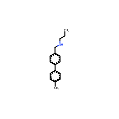 CCCNCc1ccc(-c2ccc(C)cc2)cc1